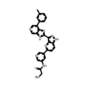 Cc1cccc(-c2cncc3[nH]c(-c4n[nH]c5ccc(-c6cncc(NC(=O)CC(C)(C)C)c6)nc45)nc23)c1